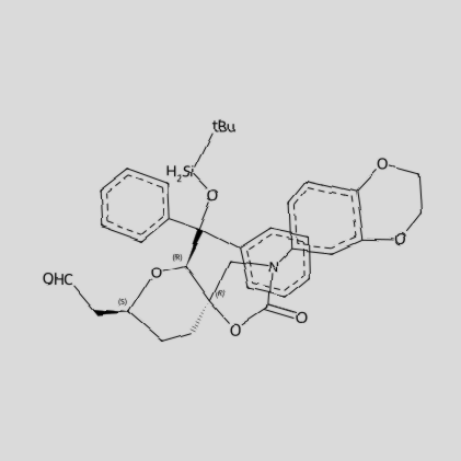 CC(C)(C)[SiH2]OC(c1ccccc1)(c1ccccc1)[C@@H]1O[C@H](CC=O)CC[C@@]12CN(c1ccc3c(c1)OCCO3)C(=O)O2